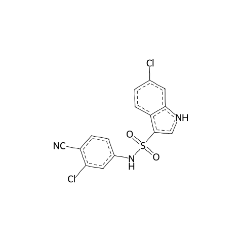 N#Cc1ccc(NS(=O)(=O)c2c[nH]c3cc(Cl)ccc23)cc1Cl